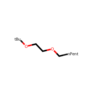 CCCCCCOCCOC(C)(C)C